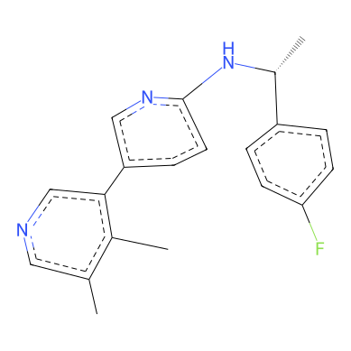 Cc1cncc(-c2ccc(N[C@H](C)c3ccc(F)cc3)nc2)c1C